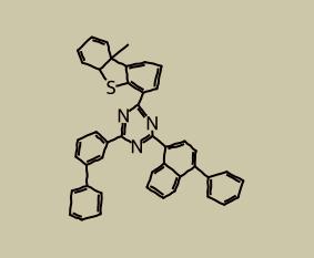 CC12C=CC=CC1Sc1c(-c3nc(-c4cccc(-c5ccccc5)c4)nc(-c4ccc(-c5ccccc5)c5ccccc45)n3)cccc12